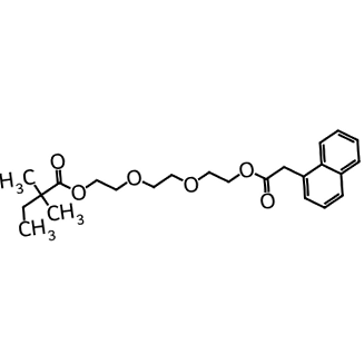 CCC(C)(C)C(=O)OCCOCCOCCOC(=O)Cc1cccc2ccccc12